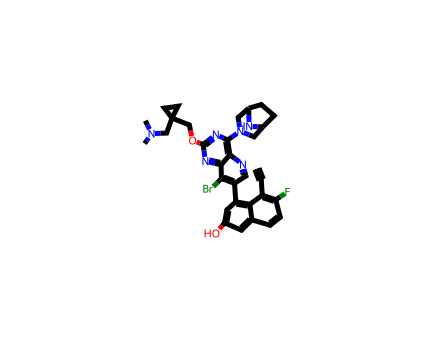 C#Cc1c(F)ccc2cc(O)cc(-c3cnc4c(N5CC6CCC(C5)N6)nc(OCC5(CN(C)C)CC5)nc4c3Br)c12